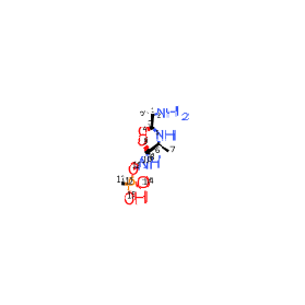 C[C@H](N)C(=O)N[C@@H](C)C(=O)NOP(C)(=O)O